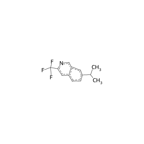 CC(C)c1ccc2cc(C(F)(F)F)ncc2c1